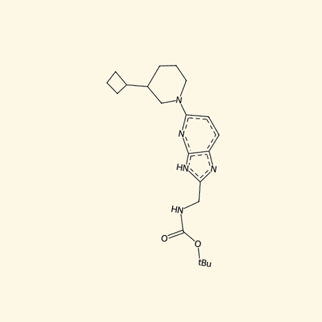 CC(C)(C)OC(=O)NCc1nc2ccc(N3CCCC(C4CCC4)C3)nc2[nH]1